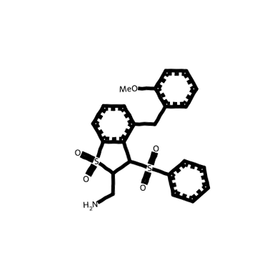 COc1ccccc1Cc1cccc2c1C(S(=O)(=O)c1ccccc1)C(CN)S2(=O)=O